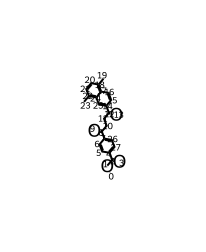 COC(=O)c1ccc(C(=O)CCC(=O)c2ccc3c(C)ccc(C)c3c2)cc1